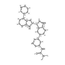 CN(C)C(=O)Nc1cncc(-c2cnc3[nH]nc(-c4cc5c(-c6cccnc6)cccc5[nH]4)c3c2)c1